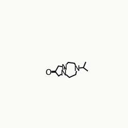 CC(C)N1CCN2CC(=O)CN2CC1